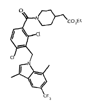 CCOC(=O)CC1CCN(C(=O)c2ccc(Cl)c(Cn3cc(C)c4cc(C(F)(F)F)cc(C)c43)c2Cl)CC1